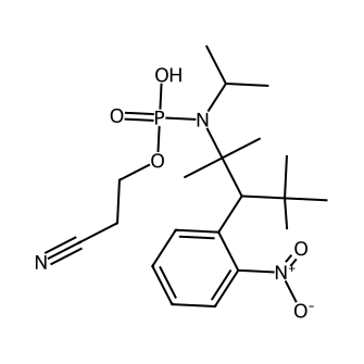 CC(C)N(C(C)(C)C(c1ccccc1[N+](=O)[O-])C(C)(C)C)P(=O)(O)OCCC#N